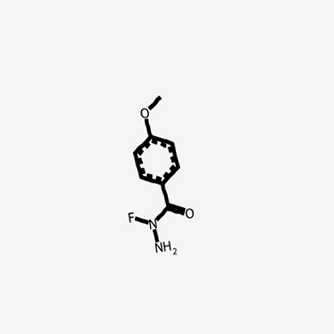 COc1ccc(C(=O)N(N)F)cc1